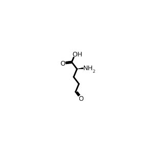 N[C@@H](CCC=O)C(=O)O